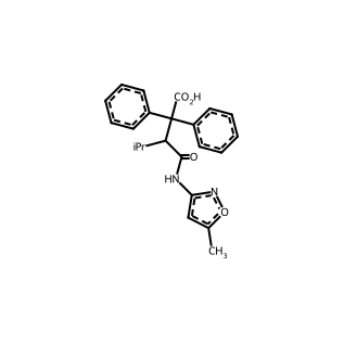 Cc1cc(NC(=O)C(C(C)C)C(C(=O)O)(c2ccccc2)c2ccccc2)no1